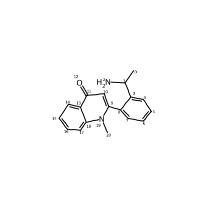 CC(N)c1ccccc1-c1cc(=O)c2ccccc2n1C